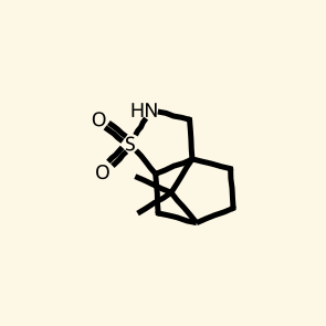 CC1(C)C2CCC13CNS(=O)(=O)C3C2